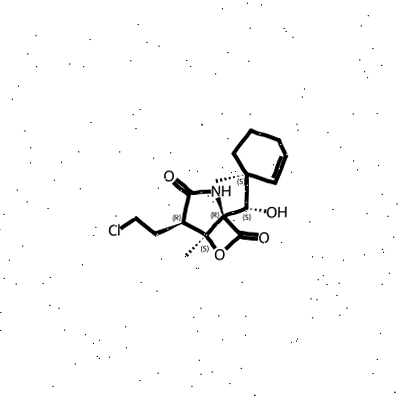 C[C@@]12OC(=O)[C@]1([C@@H](O)[C@]1(C)C=CCCC1)NC(=O)[C@@H]2CCCl